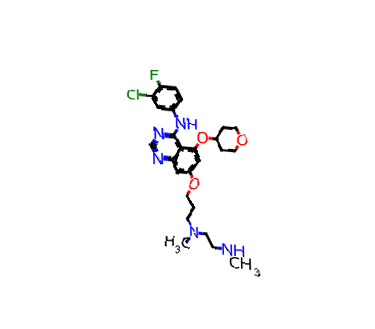 CNCCN(C)CCCOc1cc(OC2CCOCC2)c2c(Nc3ccc(F)c(Cl)c3)ncnc2c1